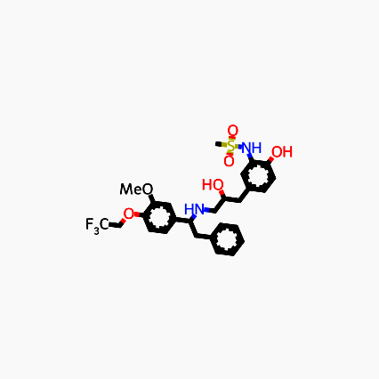 COc1cc(C(Cc2ccccc2)NCC(O)Cc2ccc(O)c(NS(C)(=O)=O)c2)ccc1OCC(F)(F)F